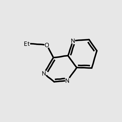 CCOc1ncnc2cccnc12